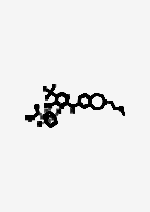 COCCN1CCc2ccc(Nc3ncc(C(F)(F)F)c(N[C@H]4[C@@H](C(N)=O)[C@@H]5C=C[C@H]4C5)n3)cc2CC1